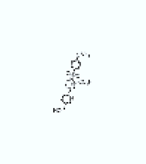 O=C(O)[C@H]1CN(c2cnc(CO)cn2)CCN1S(=O)(=O)c1ccc(OC(F)(F)F)cc1